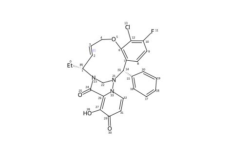 CC[C@@H]1/C=C/COc2c(ccc(F)c2Cl)[C@H](c2ccccc2)N2CN1C(=O)c1c(O)c(=O)ccn12